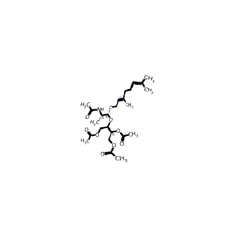 CC(=O)N[C@@H](C)[C@H](OC/C=C(\C)CCC=C(C)C)OC(COC(C)=O)[C@H](COC(C)=O)OC(C)=O